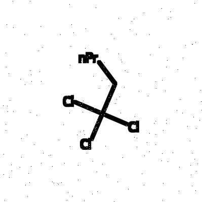 C[CH]CCC(Cl)(Cl)Cl